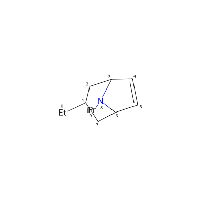 CCC1CC2C=CC(C1)N2C(C)C